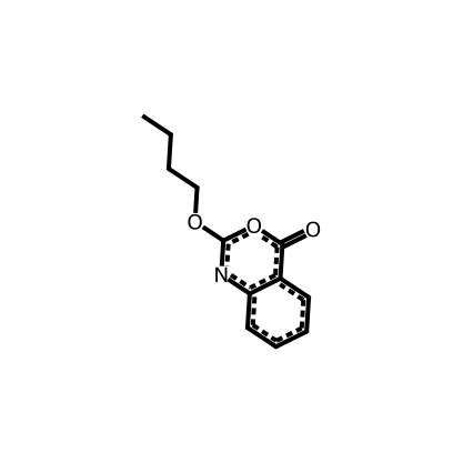 CCCCOc1nc2ccccc2c(=O)o1